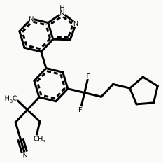 CCC(C)(CC#N)c1cc(-c2ccnc3[nH]ncc23)cc(C(F)(F)CCC2CCCC2)c1